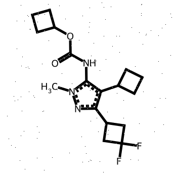 Cn1nc(C2CC(F)(F)C2)c(C2CCC2)c1NC(=O)OC1CCC1